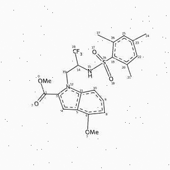 COC(=O)c1cc2c(OC)cccc2n1CC(NS(=O)(=O)c1c(C)cc(C)cc1C)C(F)(F)F